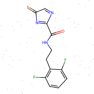 O=C(NCCc1c(F)cccc1F)C1=NC(=S)C=N1